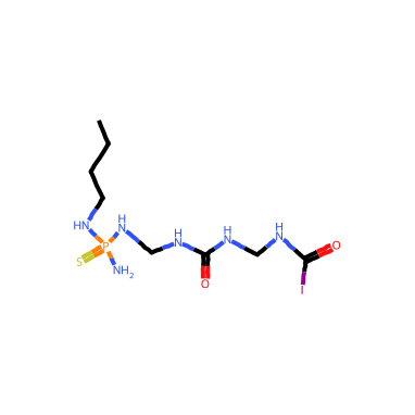 CCCCNP(N)(=S)NCNC(=O)NCNC(=O)I